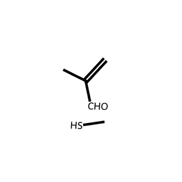 C=C(C)C=O.CS